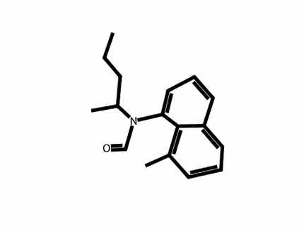 CCCC(C)N(C=O)c1cccc2cccc(C)c12